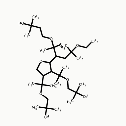 CCOC(C)(C)CC(C1OCC(C(C)(C)OCC(C)(C)O)C1C(C)(C)OCC(C)(C)O)C(C)(C)OCCC(C)(C)O